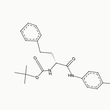 COc1ccc(NC(=O)[C@@H](CCc2ccccc2)NC(=O)OC(C)(C)C)cc1